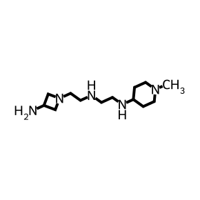 CN1CCC(NCCNCCN2CC(N)C2)CC1